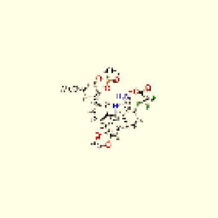 COc1cc(OS(C)(=O)=O)cc(-c2cccc(C3(c4ccc5c(c4)OCCO5)N=C(N)c4ccccc43)c2)c1.O=C(O)C(F)(F)F